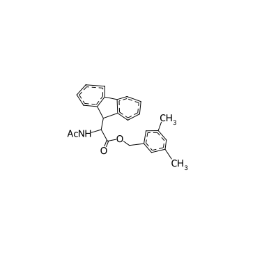 CC(=O)NC(C(=O)OCc1cc(C)cc(C)c1)C1c2ccccc2-c2ccccc21